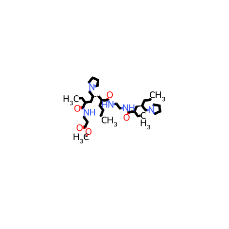 CCCCC(C[C@H](CC(CC)C(=O)NCCC(=O)OC)CN1CCCC1)C(=O)NCCNC(=O)C(CC)C[C@@H](CCC)CN1CCCC1